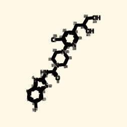 O=C(Nc1nc2ccc(F)cc2s1)N1CCN(c2ncc(CC(O)CO)cc2Cl)CC1